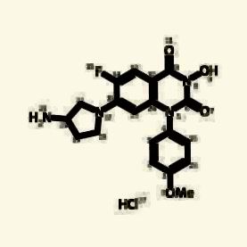 COc1ccc(-n2c(=O)n(O)c(=O)c3cc(F)c(N4CCC(N)C4)cc32)cc1.Cl